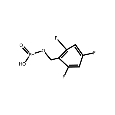 O=[PH](O)OCc1c(F)cc(F)cc1F